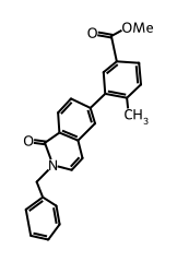 COC(=O)c1ccc(C)c(-c2ccc3c(=O)n(Cc4ccccc4)ccc3c2)c1